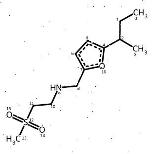 CCC(C)c1ccc(CNCCS(C)(=O)=O)o1